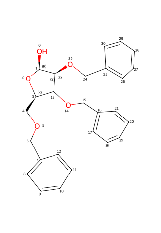 O[C@@H]1O[C@H](COCc2ccccc2)C(OCc2ccccc2)[C@@H]1OCc1ccccc1